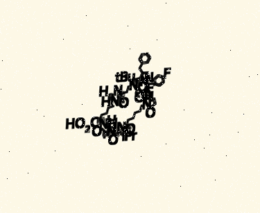 CC(C)[C@H](NC(=O)CCCCCN1C(=O)C=CC1=O)C(=O)N[C@@H](C)C(=O)N[C@@H](CCCCNC(=O)[C@@H](N)CCN(C(=O)CO)[C@@H](c1nn(-c2cc(F)ccc2F)cc1Cc1ccccc1)C(C)(C)C)C(=O)O